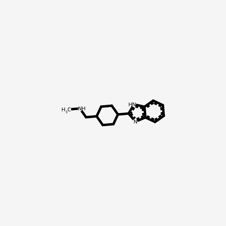 CNCC1CCC(c2nc3ccccc3[nH]2)CC1